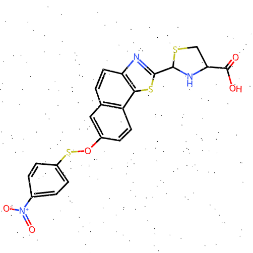 O=C(O)C1CSC(c2nc3ccc4cc(OSc5ccc([N+](=O)[O-])cc5)ccc4c3s2)N1